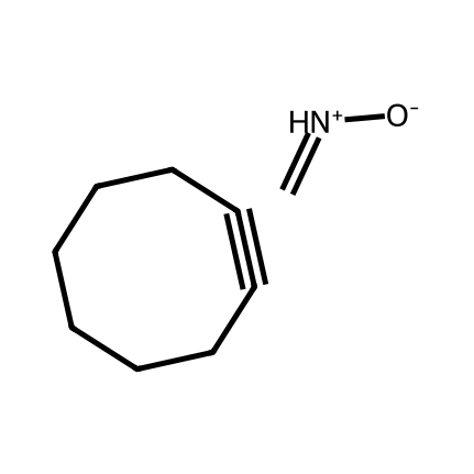 C1#CCCCCCC1.C=[NH+][O-]